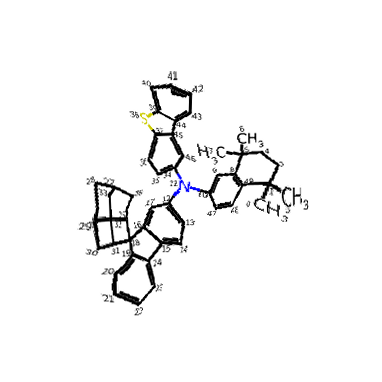 CC1(C)CCC(C)(C)c2cc(N(c3ccc4c(c3)C3(c5ccccc5-4)C4CC5CC6CC3C64C5)c3ccc4sc5ccccc5c4c3)ccc21